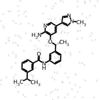 CC(C)c1cccc(C(=O)Nc2cccc([C@@H](C)Oc3cc(-c4cnn(C)c4)cnc3N)c2)c1